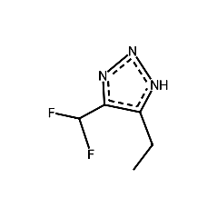 CCc1[nH]nnc1[C](F)F